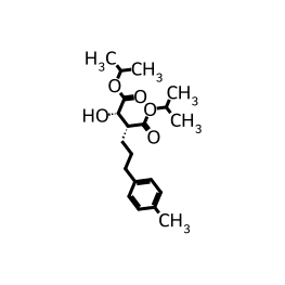 Cc1ccc(CCC[C@@H](C(=O)OC(C)C)[C@H](O)C(=O)OC(C)C)cc1